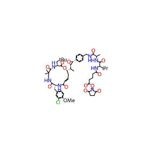 COc1ccc(C[C@H]2NC(=O)/C=C/C[C@@H](C(C)[C@H]3O[C@@H]3c3ccc(CNC(=O)C(C)NC(=O)C(NC(=O)CCCC(=O)ON4C(=O)CCC4=O)C(C)C)cc3)OC(=O)[C@H](CC(C)(C)C)NC(=O)C(C)(C)CNC2=O)cc1Cl